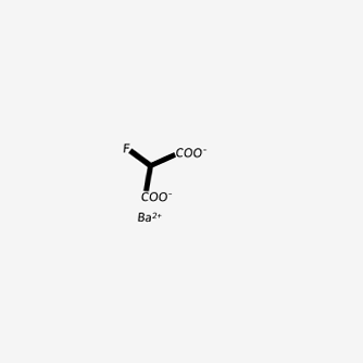 O=C([O-])C(F)C(=O)[O-].[Ba+2]